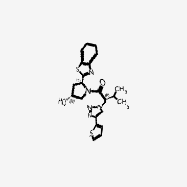 CC(C)[C@H](C(=O)N1C[C@H](O)C[C@H]1c1nc2ccccc2s1)n1cc(-c2cccs2)nn1